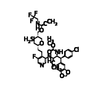 C=C=C(NCC(F)(F)F)OC[C@@H]1CO[C@H](CCc2c(F)cncc2NC(=C=C)[C@@H](NC(=O)OC)[C@@H](c2ccc(Cl)cc2)c2ccc3c(c2)OCO3)C[SiH2]1